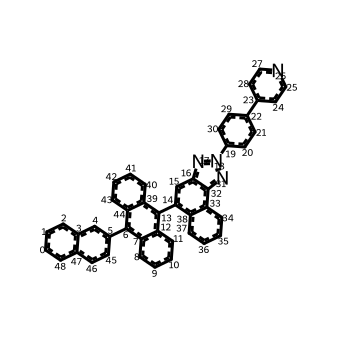 c1ccc2cc(-c3c4ccccc4c(-c4cc5nn(-c6ccc(-c7ccncc7)cc6)nc5c5ccccc45)c4ccccc34)ccc2c1